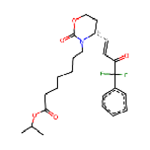 CC(C)OC(=O)CCCCCCN1C(=O)OCC[C@@H]1C=CC(=O)C(F)(F)c1ccccc1